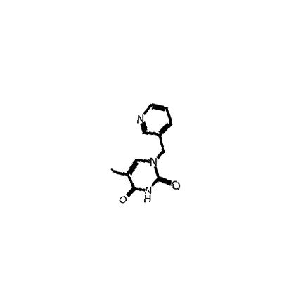 Cc1cn(Cc2cccnc2)c(=O)[nH]c1=O